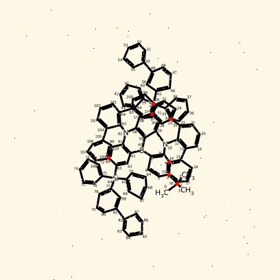 CC(C)(C)c1ccc2c(c1)N(c1c(-c3ccccc3)cccc1-c1ccccc1)c1cc([Si](c3ccccc3)(c3ccccc3)c3cccc(-c4ccccc4)c3)cc3c1B2c1cc([Si](c2ccccc2)(c2ccccc2)c2cccc(-c4ccccc4)c2)ccc1N3c1c(-c2ccccc2)cccc1-c1ccccc1